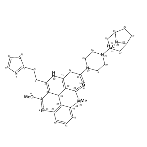 COC(=O)C1=C(CCc2nccs2)NC(CC(=O)N2CCN(C3CC4CCC(C3)N4C)CC2)=C(C(=O)OC)C1c1c(Cl)cccc1Cl